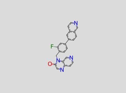 O=c1cnc2ccncc2n1Cc1ccc(-c2ccc3cnccc3c2)cc1F